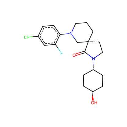 O=C1N([C@H]2CC[C@H](O)CC2)CC[C@]12CCCN(c1ccc(Cl)cc1F)C2